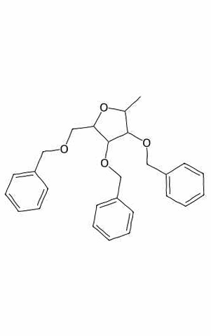 CC1OC(COCc2ccccc2)C(OCc2ccccc2)C1OCc1ccccc1